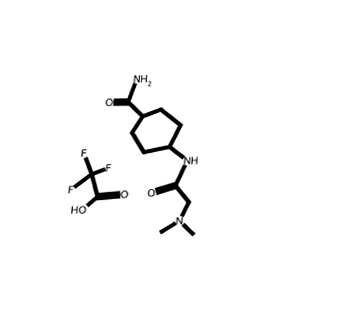 CN(C)CC(=O)NC1CCC(C(N)=O)CC1.O=C(O)C(F)(F)F